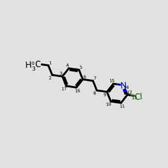 CCCc1ccc(CCc2ccc(Cl)nc2)cc1